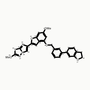 COc1cc(OCc2cccc(-c3ccc4c(c3)OCC4)c2)c2cc(-c3cn4nc(OC)sc4n3)oc2c1